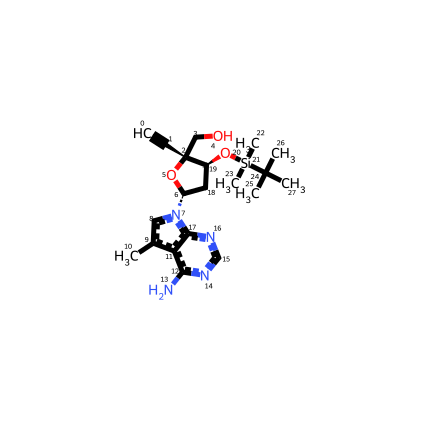 C#C[C@]1(CO)O[C@@H](n2cc(C)c3c(N)ncnc32)C[C@@H]1O[Si](C)(C)C(C)(C)C